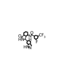 O=C(Nc1cccc2c1C(c1ccc3cn[nH]c3c1)NC2=O)c1cc(F)cc(C(F)(F)F)c1